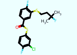 CC(C)(F)CCSc1cc(C(=O)Sc2ccc(F)c(Cl)c2)ccc1F